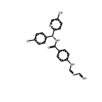 N#Cc1ccc([C@@H](NC(=O)c2ccc(N/C=N\C=N)cc2)c2ccc(Cl)cc2)nc1